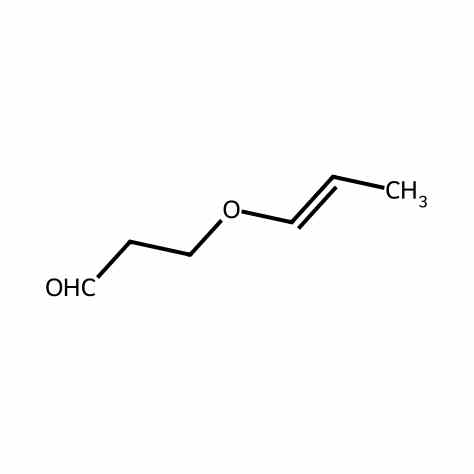 CC=COCCC=O